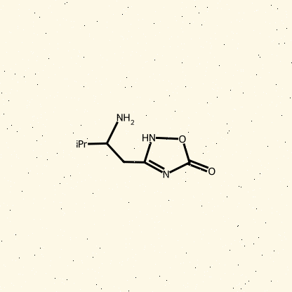 CC(C)C(N)Cc1nc(=O)o[nH]1